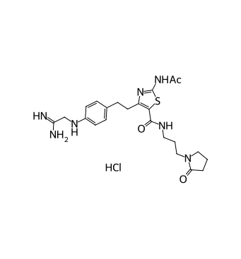 CC(=O)Nc1nc(CCc2ccc(NCC(=N)N)cc2)c(C(=O)NCCCN2CCCC2=O)s1.Cl